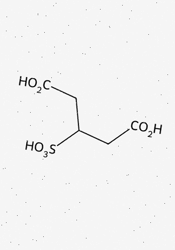 O=C(O)CC(CC(=O)O)S(=O)(=O)O